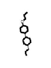 CCCOC1CCC([C@H]2CC[C@H](CCC)CC2)CC1